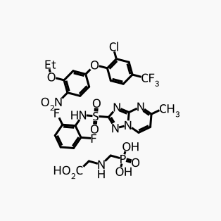 CCOc1cc(Oc2ccc(C(F)(F)F)cc2Cl)ccc1[N+](=O)[O-].Cc1ccn2nc(S(=O)(=O)Nc3c(F)cccc3F)nc2n1.O=C(O)CNCP(=O)(O)O